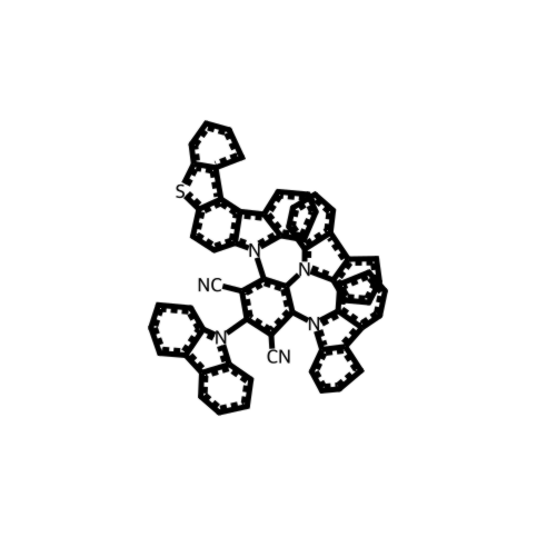 N#Cc1c(-n2c3ccccc3c3ccccc32)c(C#N)c(-n2c3ccccc3c3c4c(ccc32)sc2ccccc24)c(-n2c3ccccc3c3ccccc32)c1-n1c2ccccc2c2ccccc21